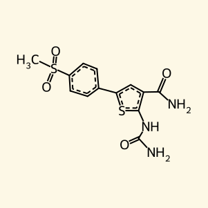 CS(=O)(=O)c1ccc(-c2cc(C(N)=O)c(NC(N)=O)s2)cc1